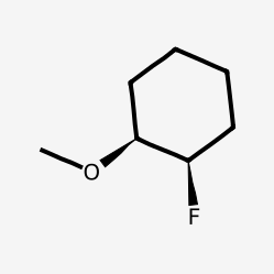 CO[C@H]1CCCC[C@H]1F